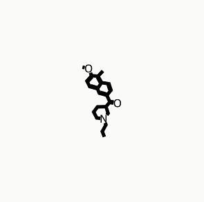 CCCN1CCCC(C(=O)c2ccc3c(C)c(OC)ccc3c2)C1